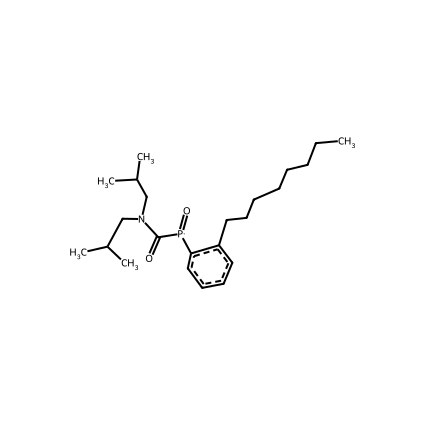 CCCCCCCCc1ccccc1[P](=O)C(=O)N(CC(C)C)CC(C)C